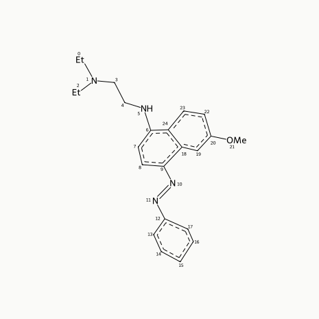 CCN(CC)CCNc1ccc(N=Nc2ccccc2)c2cc(OC)ccc12